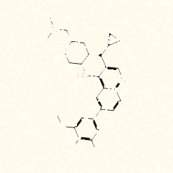 COc1cc(-c2ccc3ncc(C(=O)C4CC4)c(N[C@H]4CC[C@@H](CN(C)C)CC4)c3c2)cc(Cl)c1O